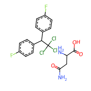 Fc1ccc(C(c2ccc(F)cc2)C(Cl)(Cl)Cl)cc1.NC(=O)CC(N)C(=O)O